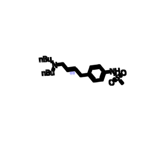 CCCCN(C/C=C/Cc1ccc(NS(C)(=O)=O)cc1)CCCC